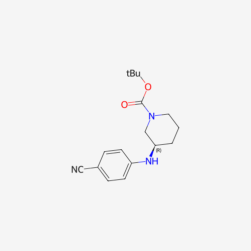 CC(C)(C)OC(=O)N1CCC[C@@H](Nc2ccc(C#N)cc2)C1